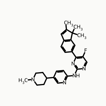 CC1=Cc2ccc(-c3nc(Nc4ccc(C5CCN(C)CC5)cn4)ncc3F)cc2C1(C)C